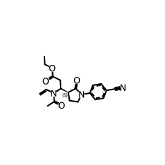 C=CN(C(C)=O)C(CC(=O)OCC)[C@@H]1CCN(c2ccc(C#N)cc2)C1=O